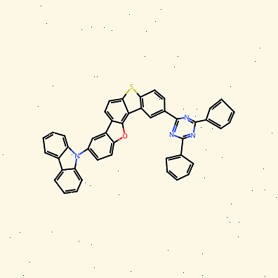 c1ccc(-c2nc(-c3ccccc3)nc(-c3ccc4sc5ccc6c7cc(-n8c9ccccc9c9ccccc98)ccc7oc6c5c4c3)n2)cc1